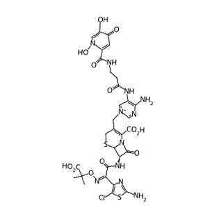 CC(C)(O/N=C(\C(=O)N[C@@H]1C(=O)N2C(C(=O)O)=C(C[n+]3cnc(N)c(NC(=O)CCNC(=O)c4cc(=O)c(O)cn4O)c3)CSC12)c1nc(N)sc1Cl)C(=O)O